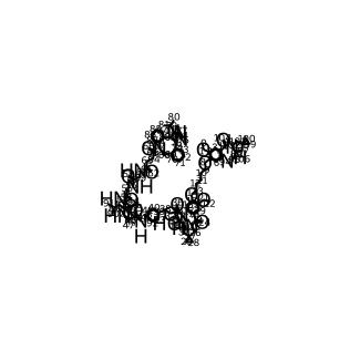 COc1cc2c(cc1OCCCCCOc1cc3c(cc1OC)C(=O)N1CC4(CC4)C[C@H]1C(O)N3C(=O)OCc1ccc(NC(=O)[C@H](C)NC(=O)[C@@H](NC(=O)CNC(=O)CNC(=O)CCC(=O)N3Cc4ccccc4-c4nnn(C(C)C)c4-c4ccccc43)C(C)C)cc1)N=C[C@@H]1CC3(CC3)CN1C2=O